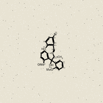 COc1ccccc1C(O)(c1ccccc1OC)[C@@H](C)N=Cc1cc(Br)ccc1O